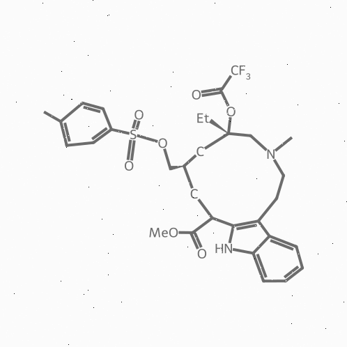 CC[C@]1(OC(=O)C(F)(F)F)C[C@H](COS(=O)(=O)c2ccc(C)cc2)CC(C(=O)OC)c2[nH]c3ccccc3c2CCN(C)C1